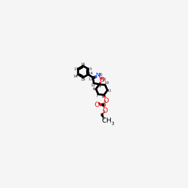 CCOC(=O)OC1CCC2(CC1)CC(c1ccccc1)=NO2